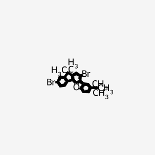 CC(C)(C)c1ccc2oc3c4c(cc(Br)c3c2c1)C(C)(C)c1cc(Br)ccc1-4